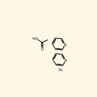 CC(=O)O.[Zn].c1ccncc1.c1ccncc1